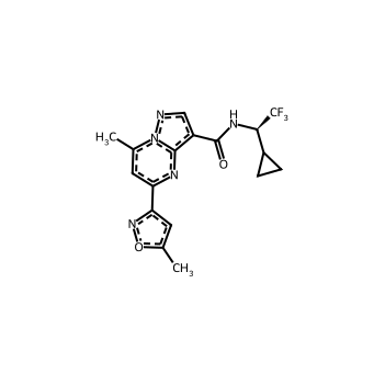 Cc1cc(-c2cc(C)n3ncc(C(=O)N[C@H](C4CC4)C(F)(F)F)c3n2)no1